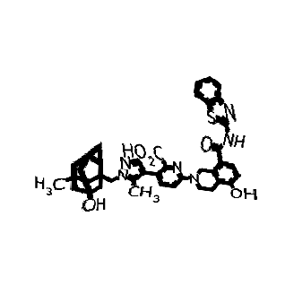 Cc1c(-c2ccc(N3CCc4c(O)ccc(C(=O)Nc5nc6ccccc6s5)c4C3)nc2C(=O)O)cnn1CC12CC3(C)CC(O)(CC4(CC41)C3)C2